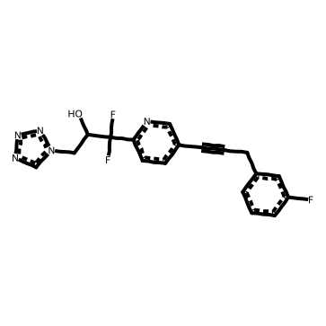 OC(Cn1cnnn1)C(F)(F)c1ccc(C#CCc2cccc(F)c2)cn1